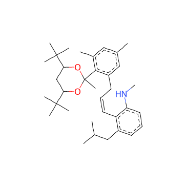 CNc1cccc(CC(C)C)c1/C=C\Cc1cc(C)cc(C)c1C1(C)OC(C(C)(C)C)CC(C(C)(C)C)O1